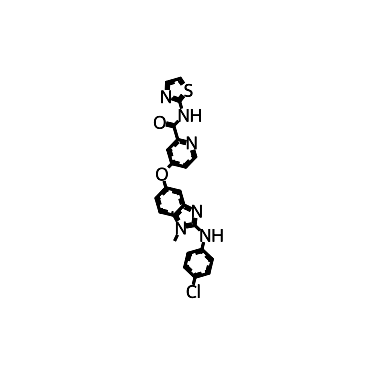 Cn1c(Nc2ccc(Cl)cc2)nc2cc(Oc3ccnc(C(=O)Nc4nccs4)c3)ccc21